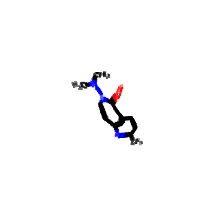 CN(C)n1ccc2nc(C(F)(F)F)ccc2c1=O